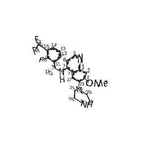 COc1cc2nccc(N[C@H](C)c3cccc(C(F)F)c3F)c2cc1N1CCNCC1